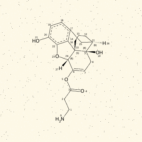 NCCC(=O)OC1=CC[C@@]2(O)[C@@H]3CCC[C@@]24c2c(ccc(O)c2O[C@@H]14)C3